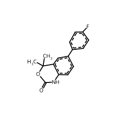 CC1(C)OC(=O)Nc2ccc(-c3ccc(F)cc3)cc21